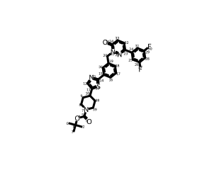 CC(C)(C)OC(=O)N1CCC(c2cnc(-c3cccc(Cn4nc(-c5cc(F)cc(F)c5)ccc4=O)c3)s2)CC1